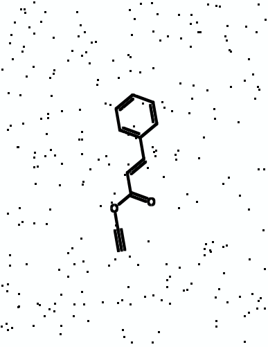 C#COC(=O)C=Cc1ccccc1